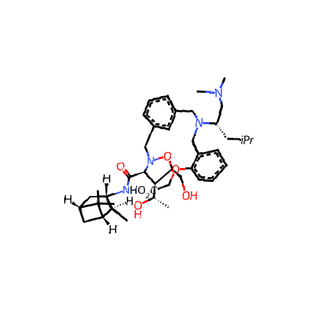 CC(C)C[C@@H](CN(C)C)N(Cc1cccc(CN2O[C@@H](CO)[C@@H]([C@H](C)O)[C@H]2C(=O)N[C@H]2C[C@H]3C[C@@H]([C@@H]2C)C3(C)C)c1)Cc1ccccc1OCC(=O)O